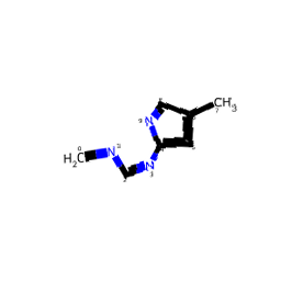 C=N/C=N\C1=C=C(C)C=N1